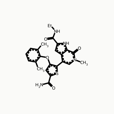 CCNC(=O)c1cc2c(-c3sc(C(N)=O)cc3Oc3c(C)cccc3C)cn(C)c(=O)c2[nH]1